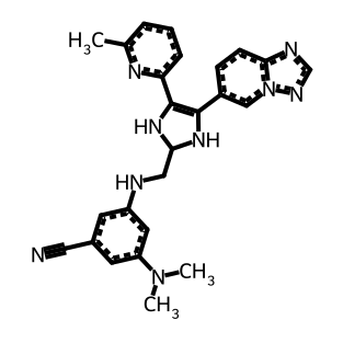 Cc1cccc(C2=C(c3ccc4ncnn4c3)NC(CNc3cc(C#N)cc(N(C)C)c3)N2)n1